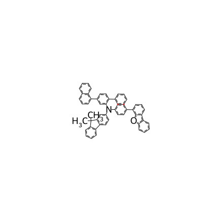 CC1(C)c2ccccc2-c2ccc(N(c3ccc(-c4cccc5c4oc4ccccc45)cc3)c3cc(-c4cccc5ccccc45)ccc3-c3ccccc3)cc21